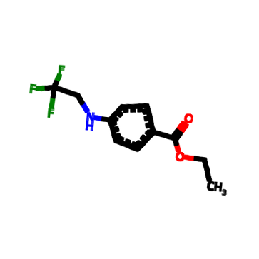 CCOC(=O)c1ccc(NCC(F)(F)F)cc1